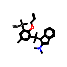 C=CCOc1c([Si](C)(C)C2C(N(C)C)=Cc3ccccc32)cc(C)cc1[Si](C)(C)C(C)(C)C